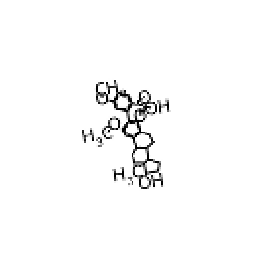 COc1ccc(S(=O)(=O)O)c(-c2cc3c(cc2OC)C2CC[C@@]4(C)C(CC[C@@H]4O)C2CC3)c1